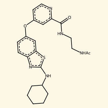 CC(=O)NCCNC(=O)c1cc(Oc2ccc3nc(NC4CCCCC4)sc3c2)ccn1